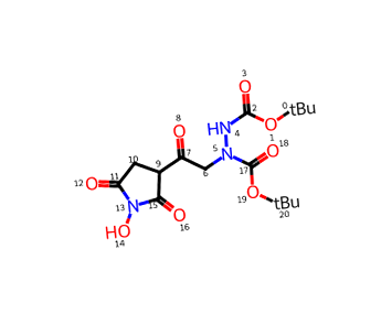 CC(C)(C)OC(=O)NN(CC(=O)C1CC(=O)N(O)C1=O)C(=O)OC(C)(C)C